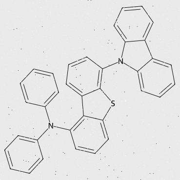 c1ccc(N(c2ccccc2)c2cccc3sc4c(-n5c6ccccc6c6ccccc65)cccc4c23)cc1